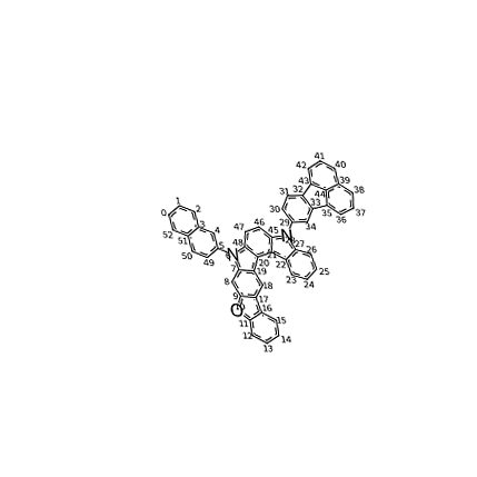 c1ccc2cc(-n3c4cc5oc6ccccc6c5cc4c4c5c6ccccc6n(-c6ccc7c(c6)-c6cccc8cccc-7c68)c5ccc43)ccc2c1